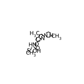 CSCC[C@H](NOc1ccc2c(C)cc(N3CCCN(C)CC3)nc2c1)C(=O)O